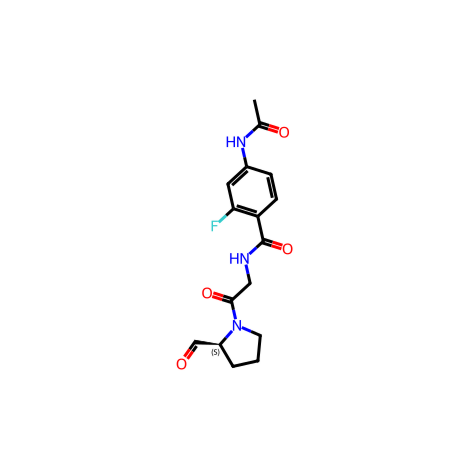 CC(=O)Nc1ccc(C(=O)NCC(=O)N2CCC[C@H]2C=O)c(F)c1